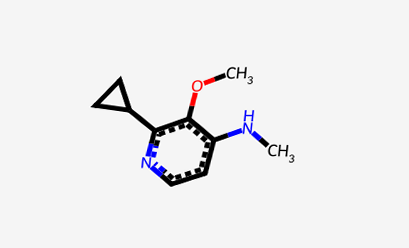 CNc1ccnc(C2CC2)c1OC